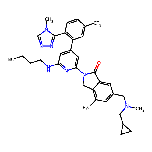 CN(Cc1cc2c(c(C(F)(F)F)c1)CN(c1cc(-c3cc(C(F)(F)F)ccc3-c3nncn3C)cc(NCCCC#N)n1)C2=O)CC1CC1